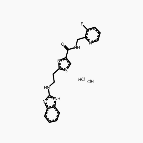 Cl.Cl.O=C(NCc1ncccc1F)c1csc(CCNc2nc3ccccc3[nH]2)n1